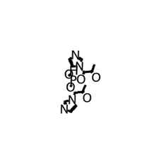 CC(=O)C(O[PH](=O)OC(C(C)=O)n1ccnc1)n1ccnc1